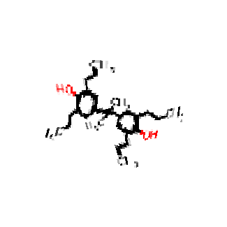 CCCc1cc(C(C)(C)c2cc(CCC)c(O)c(CCC)c2)cc(CCC)c1O